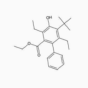 CCOC(=O)c1c(CC)c(O)c(C(C)(C)C)c(CC)c1-c1ccccc1